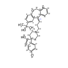 CC(C)(O)c1ccc2c(c1)/C(=C\CCN1CCC(C(=O)O)(c3ccc(Cl)cc3)CC1)c1cccnc1CO2